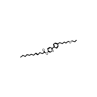 CCCCCCCC=CCCC(=O)Oc1ccc(-c2ccc(CCCCCOCCC)cc2)nc1